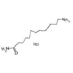 Cl.NCCCCCCCCCCCC(N)=O